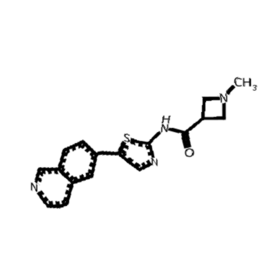 CN1CC(C(=O)Nc2ncc(-c3ccc4cnccc4c3)s2)C1